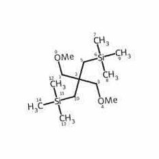 COCC(COC)(C[Si](C)(C)C)C[Si](C)(C)C